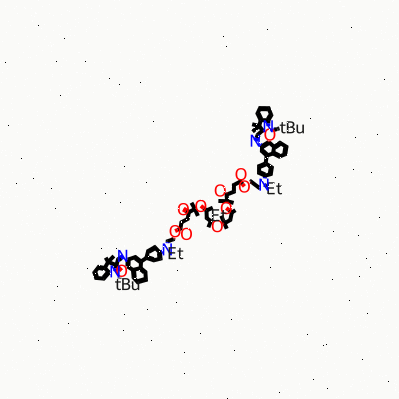 CCN(CCOC(=O)CCC(=O)C(C)(C)OC(C)CC(C)(C)OC(C)(CC)CC(C)OC(C)(C)C(=O)CCC(=O)OCCN(CC)c1ccc(-c2cc3c(c4ccccc24)OC2(C=N3)N(CC(C)(C)C)c3ccccc3C2(C)C)cc1)c1ccc(-c2cc3c(c4ccccc24)OC2(C=N3)N(CC(C)(C)C)c3ccccc3C2(C)C)cc1